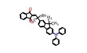 CCCCC(C)(C=C1C(=O)c2ccccc2C1=O)c1ccc2c(c1)C(C)(C)c1cc(N(c3ccccc3)c3ccccc3)ccc1-2